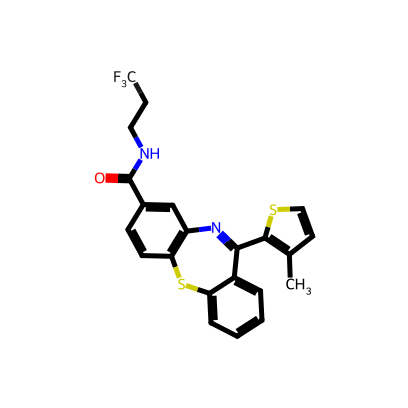 Cc1ccsc1C1=Nc2cc(C(=O)NCCC(F)(F)F)ccc2Sc2ccccc21